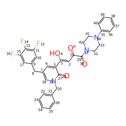 O=C(C=C(O)c1cc(Cc2cc(F)c(F)c(F)c2)cn(Cc2ccccc2)c1=O)C(=O)N1CCN(c2ccccc2)CC1